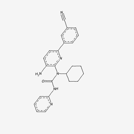 N#Cc1cccc(-c2ccc(N)c(N(C(=O)Nc3ccccn3)C3CCCCC3)n2)c1